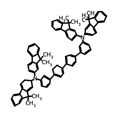 CC1(C)C2=CC(N(c3cccc(C4=CC=C(c5ccc(-c6cccc(N(c7ccc8c(c7)C(C)(C)c7ccccc7-8)c7ccc8c(c7)C(C)(C)c7ccccc7-8)c6)cc5)CC4)c3)c3ccc4c(c3)C(C)(C)c3ccccc3-4)CC=C2c2ccccc21